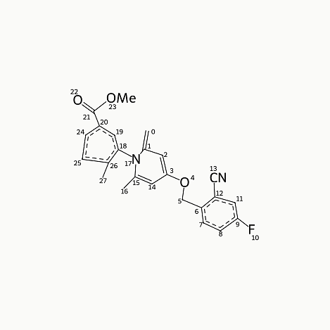 C=C1C=C(OCc2ccc(F)cc2C#N)C=C(C)N1c1cc(C(=O)OC)ccc1C